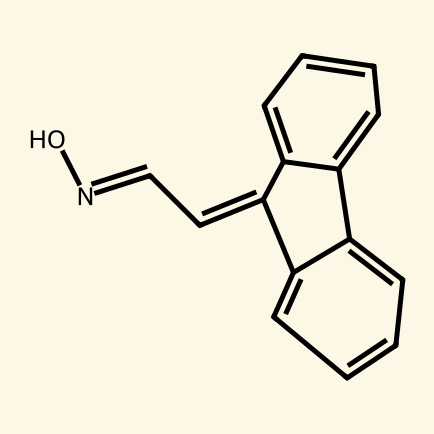 O/N=C/C=C1c2ccccc2-c2ccccc21